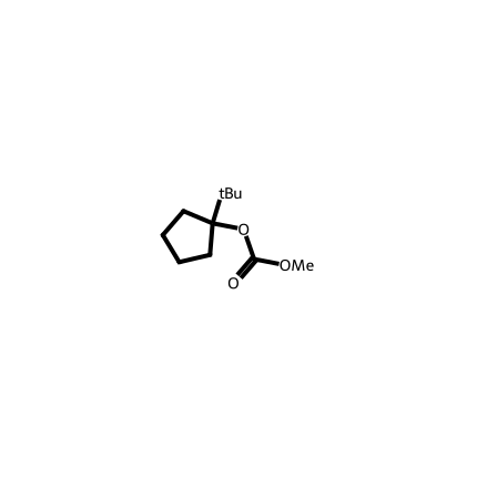 COC(=O)OC1(C(C)(C)C)CCCC1